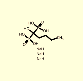 CCCCC(O)(P(=O)(O)O)P(=O)(O)O.[NaH].[NaH].[NaH]